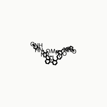 COc1nc(-c2cccc(-c3cccc(-c4ccn5c(=O)c(CNC[C@H]6CCC(=O)N6)cnc5c4)c3Cl)c2Cl)cnc1CNC[C@H]1CCC(=O)N1